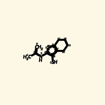 C=C(C)Nc1sc2c(c1S)CCCC2